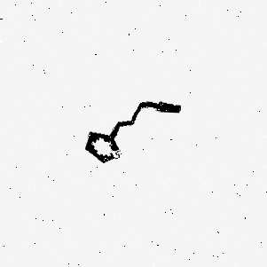 C#CCCCc1cccs1